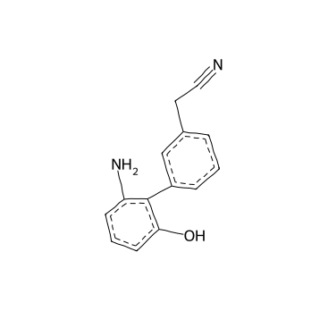 N#CCc1cccc(-c2c(N)cccc2O)c1